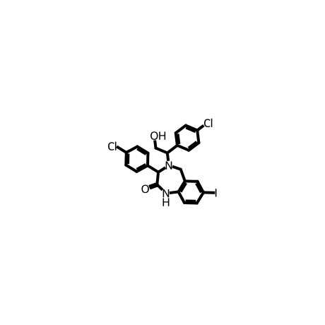 O=C1Nc2ccc(I)cc2CN(C(CO)c2ccc(Cl)cc2)C1c1ccc(Cl)cc1